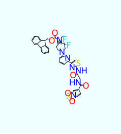 CN(C(=O)OCC1c2ccccc2-c2ccccc21)[C@@H]1CCN(c2cccc(-c3csc(NC(=O)CNC(=O)c4ccn(S(C)(=O)=O)c4)n3)n2)CC1(F)F